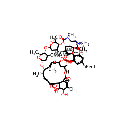 C=C(C)[C@@H]1CCC(C)=C[C@H]1c1c(O)cc(CCCCC)cc1OC(=O)N(C)CCN(C)C(=O)O[C@H]1[C@H](C)O[C@@H](O[C@H]2[C@H](C)O[C@@H](O[C@@H]3/C(C)=C/C[C@@H]4C[C@@H](C[C@]5(CC[C@H](C)[C@@H]([C@@H](C)CC)O5)O4)OC(=O)[C@@H]4C=C(C)[C@@H](O)[C@H]5OC/C(=C\C=C\[C@@H]3C)[C@]54O)C[C@@H]2OC)C[C@@H]1OC